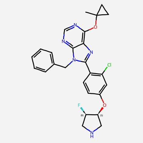 CC1(Oc2ncnc3c2nc(-c2ccc(O[C@H]4CNC[C@H]4F)cc2Cl)n3Cc2ccccc2)CC1